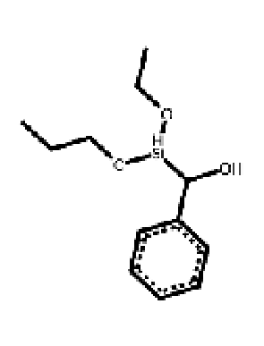 CCCO[SiH](OCC)C(O)c1ccccc1